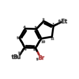 CCC1=Cc2ccc(C(C)(C)C)c(Br)c2C1